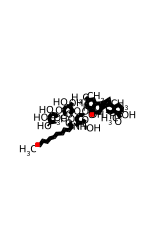 CCCCCCCCCCCC(=O)NC1C(O)C(O[C@@H]2O[C@H](C)C(O[C@@H]3OC[C@@H](O)C(O)C3O)C(O)C2O)[C@H](OC(=O)C23CCC(C)(C)CC2C2=C4CC5C6(C)CCC(O)C(C)(C=O)[C@@H]6CC[C@@]45[C@]2(C)C[C@H]3O)O[C@@H]1CO